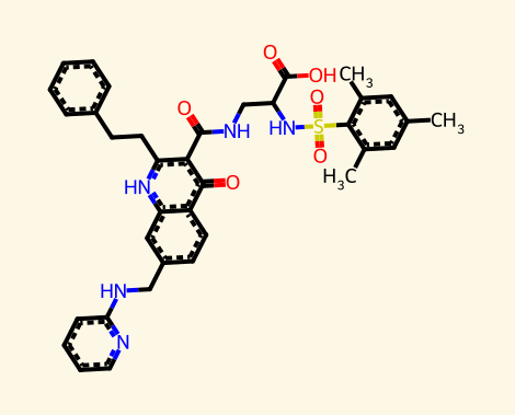 Cc1cc(C)c(S(=O)(=O)NC(CNC(=O)c2c(CCc3ccccc3)[nH]c3cc(CNc4ccccn4)ccc3c2=O)C(=O)O)c(C)c1